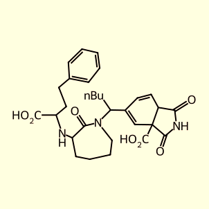 CCCCC(C1=CC2(C(=O)O)C(=O)NC(=O)C2C=C1)N1CCCCC(NC(CCc2ccccc2)C(=O)O)C1=O